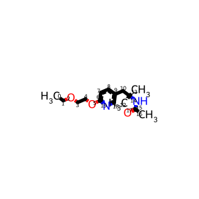 CCOCCOc1ccc(CC(C)(C)NC(C)=O)cn1